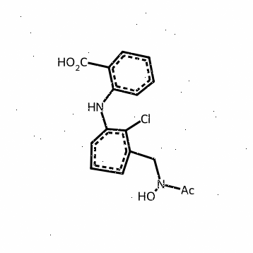 CC(=O)N(O)Cc1cccc(Nc2ccccc2C(=O)O)c1Cl